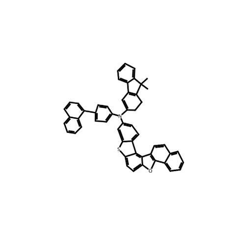 CC1(C)C2=C(C=C(N(c3ccc(-c4cccc5ccccc45)cc3)c3ccc4c(c3)sc3ccc5oc6c7ccccc7ccc6c5c34)CC2)c2ccccc21